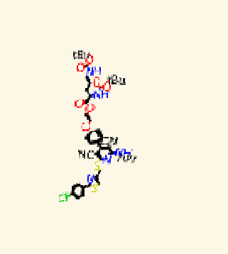 CCCNc1nc(SCc2csc(-c3ccc(Cl)cc3)n2)c(C#N)c(-c2ccc(OCCOC(=O)[C@@H](CCCNC(=O)OC(C)(C)C)NC(=O)OC(C)(C)C)cc2)c1C#N